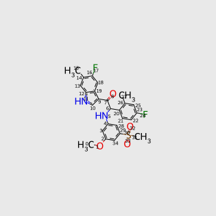 COc1cc(NC(C(=O)c2c[nH]c3cc(C)c(F)cc23)c2ccc(F)cc2C)cc(S(C)(=O)=O)c1